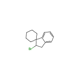 BrC1Cc2ccccc2C12CCCCC2